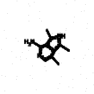 Cc1cnc(N)c2c(C)[nH]c(C)c12